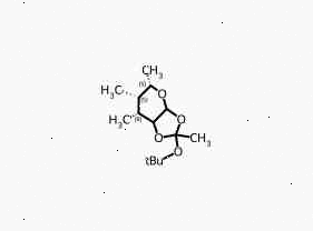 C[C@@H]1[C@H](C)OC2OC(C)(OC(C)(C)C)OC2[C@@H]1C